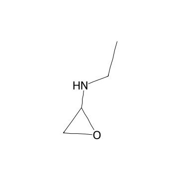 CCNC1CO1